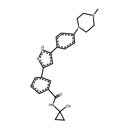 CN1CCN(c2ccc(-c3cc(-c4cccc(C(=O)NC5(C#N)CC5)c4)n[nH]3)cc2)CC1